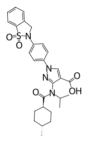 CC(C)N(c1nn(-c2ccc(N3Cc4ccccc4S3(=O)=O)cc2)cc1C(=O)O)C(=O)[C@H]1CC[C@H](C)CC1